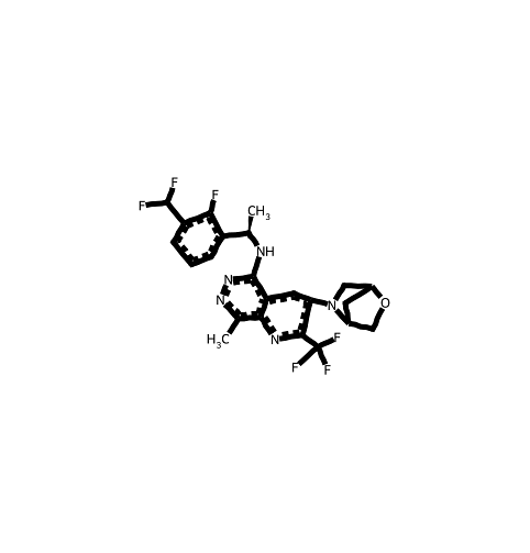 Cc1nnc(N[C@H](C)c2cccc(C(F)F)c2F)c2cc(N3CC4CC3CO4)c(C(F)(F)F)nc12